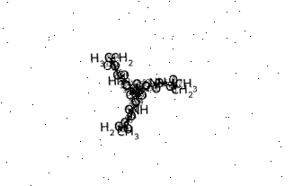 C=C(C)C(=O)OCCOC(=O)NC1CCC(n2c(=O)n(C3CCC(NC(=O)OCCOC(=O)C(=C)C)CC3)c(=O)n(C3CCC(NC(=O)OCCOC(=O)C(=C)C)CC3)c2=O)CC1